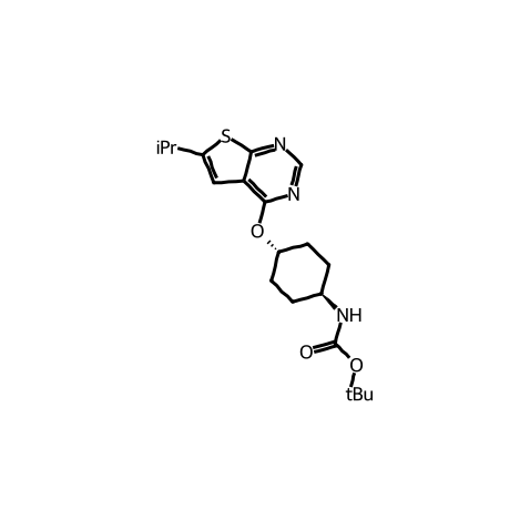 CC(C)c1cc2c(O[C@H]3CC[C@H](NC(=O)OC(C)(C)C)CC3)ncnc2s1